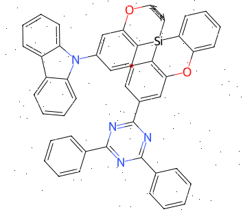 c1ccc(-c2nc(-c3ccccc3)nc(-c3ccc4c(c3)Oc3ccccc3[Si]43c4ccccc4Oc4cc(-n5c6ccccc6c6ccccc65)ccc43)n2)cc1